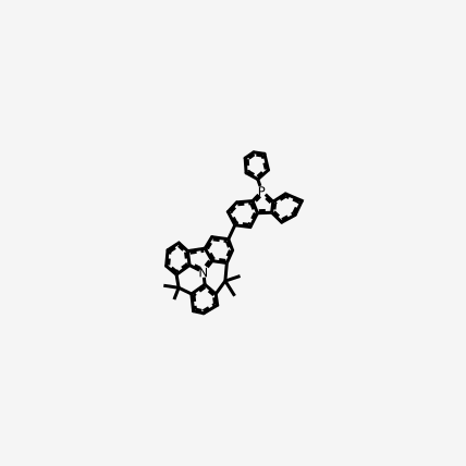 CC1(C)c2cccc3c2-n2c4c1cccc4c1cc(-c4ccc5c(c4)c4ccccc4p5-c4ccccc4)cc(c12)C3(C)C